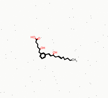 CCCCCC=CCC(O)C=Cc1cccc(CC(O)CCCC(=O)O)c1